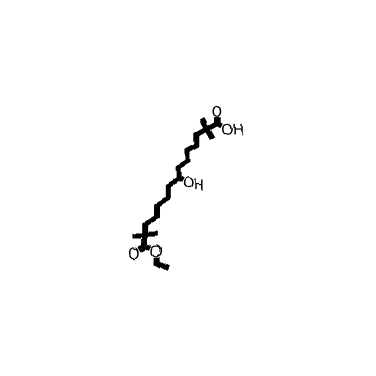 CCOC(=O)C(C)(C)CCCCCC(O)CCCCCC(C)(C)C(=O)O